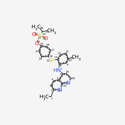 CCc1ccc2c(Nc3cc(C)ccc3Sc3ccc(OS(=O)(=O)C(C)C)cc3)ccnc2n1